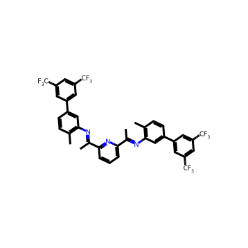 C/C(=N\c1cc(-c2cc(C(F)(F)F)cc(C(F)(F)F)c2)ccc1C)c1cccc(/C(C)=N/c2cc(-c3cc(C(F)(F)F)cc(C(F)(F)F)c3)ccc2C)n1